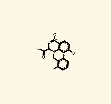 CC(C(=O)O)N(Cc1c(F)cccc1F)c1cc(Br)ccc1[N+](=O)[O-]